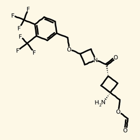 N[C@]1(COC=O)C[C@H](C(=O)N2CC(OCc3ccc(C(F)(F)F)c(C(F)(F)F)c3)C2)C1